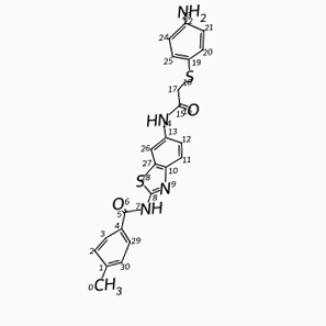 Cc1ccc(C(=O)Nc2nc3ccc(NC(=O)CSc4ccc(N)cc4)cc3s2)cc1